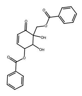 O=C(OCC1(O)C(=O)C=CC(OC(=O)c2ccccc2)C1O)c1ccccc1